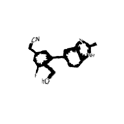 Cc1nc2cc(-c3cc(CC#N)cc(F)c3CO)ccc2[nH]1